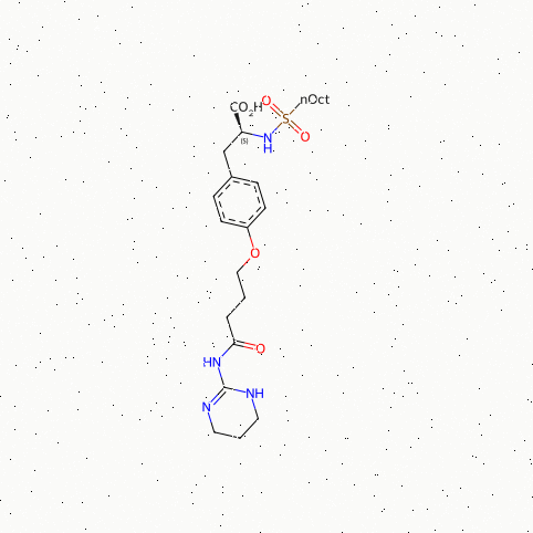 CCCCCCCCS(=O)(=O)N[C@@H](Cc1ccc(OCCCC(=O)NC2=NCCCN2)cc1)C(=O)O